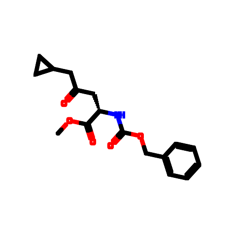 COC(=O)[C@H](CC(=O)CC1CC1)NC(=O)OCc1ccccc1